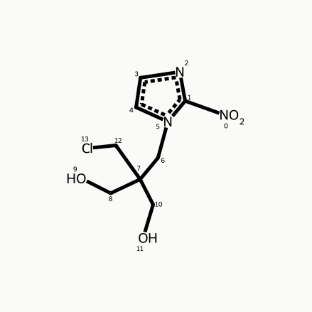 O=[N+]([O-])c1nccn1CC(CO)(CO)CCl